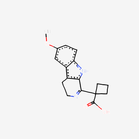 COc1ccc2[nH]c3c(c2c1)CCN=C3C1(C(=O)O)CCC1